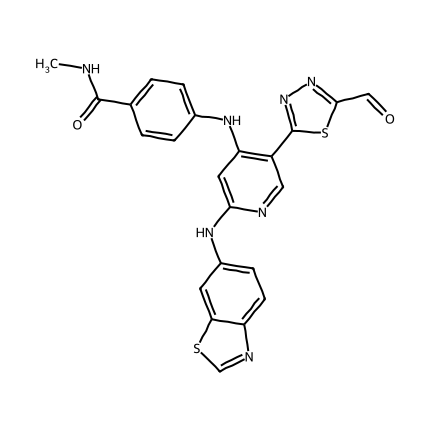 CNC(=O)c1ccc(Nc2cc(Nc3ccc4ncsc4c3)ncc2-c2nnc(C=O)s2)cc1